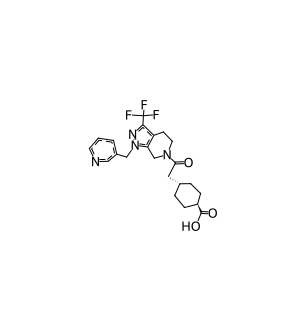 O=C(C[C@H]1CC[C@H](C(=O)O)CC1)N1CCc2c(C(F)(F)F)nn(Cc3cccnc3)c2C1